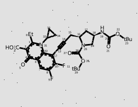 CCc1c(C(=O)O)c(=O)c2cc(F)c(F)c(C#CC[C@H]3C[C@@H](NC(=O)OC(C)(C)C)CN3C(=O)OC(C)(C)C)c2n1C1CC1